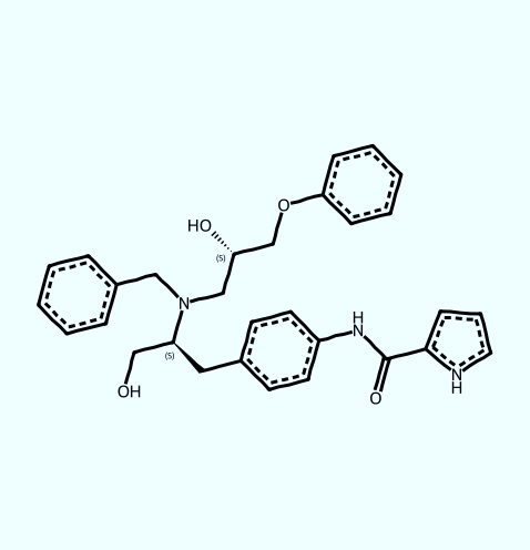 O=C(Nc1ccc(C[C@@H](CO)N(Cc2ccccc2)C[C@H](O)COc2ccccc2)cc1)c1ccc[nH]1